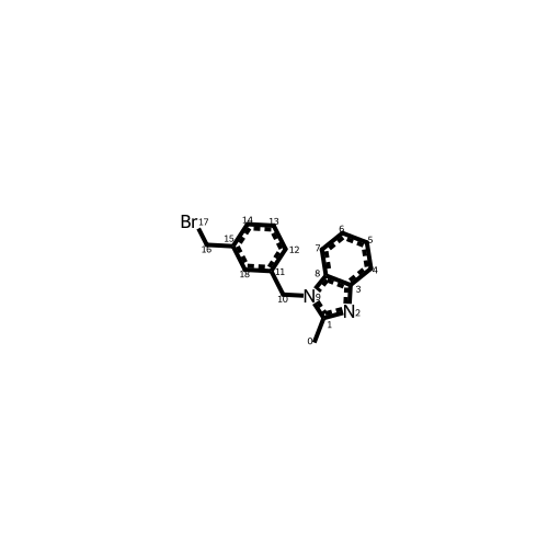 Cc1nc2ccccc2n1Cc1cccc(CBr)c1